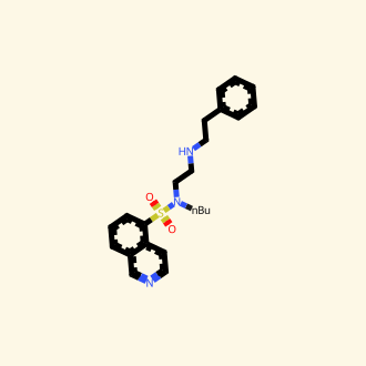 CCCCN(CCNCCc1ccccc1)S(=O)(=O)c1cccc2cnccc12